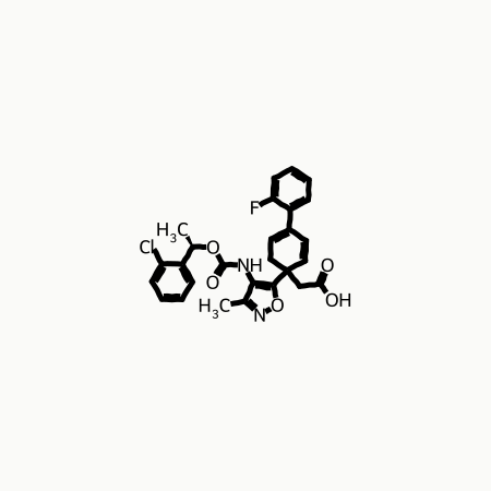 Cc1noc(C2(CC(=O)O)C=CC(c3ccccc3F)=CC2)c1NC(=O)O[C@H](C)c1ccccc1Cl